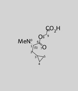 CN[C@@H](CC1CC1)C(=O)OCC(=O)O